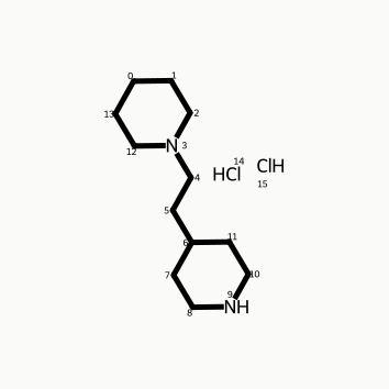 C1CCN(CCC2CCNCC2)CC1.Cl.Cl